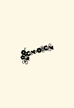 COC(=O)N[C@H]1CCC[C@@H]1C(c1cccc(F)c1)(C1CCN(CC2(F)CN(c3ccc(S(=O)(=O)C4CCN(C(=O)C5(O)CC5)CC4)cc3)C2)CC1)N1CCC1